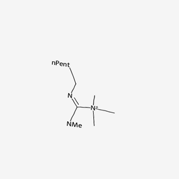 CCCCCCN=C(NC)[N+](C)(C)C